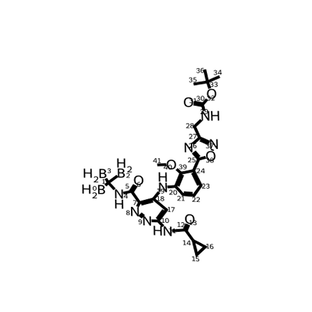 BC(B)(B)NC(=O)c1nnc(NC(=O)C2CC2)cc1Nc1cccc(-c2nc(CNC(=O)OC(C)(C)C)no2)c1OC